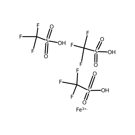 O=S(=O)(O)C(F)(F)F.O=S(=O)(O)C(F)(F)F.O=S(=O)(O)C(F)(F)F.[Fe+3]